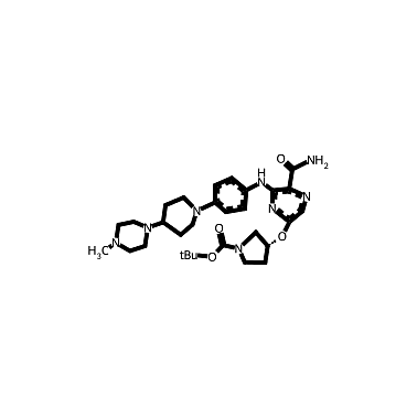 CN1CCN(C2CCN(c3ccc(Nc4nc(O[C@@H]5CCN(C(=O)OC(C)(C)C)C5)cnc4C(N)=O)cc3)CC2)CC1